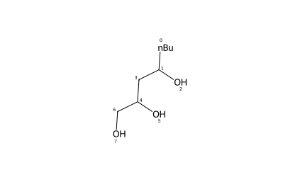 CCCCC(O)CC(O)CO